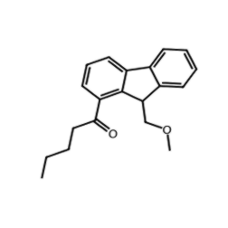 CCCCC(=O)c1cccc2c1C(COC)c1ccccc1-2